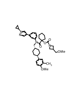 COCC1CN(C(=O)OC2(C(=O)N(C[C@H]3CC[C@H](c4ccc(OC)c(C)c4)CC3)c3cccc(-c4cnn(C5CC5)c4)c3)CCCCC2)C1